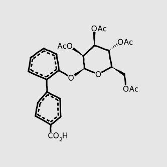 CC(=O)OC[C@H]1O[C@@H](Oc2ccccc2-c2ccc(C(=O)O)cc2)[C@@H](OC(C)=O)[C@@H](OC(C)=O)[C@@H]1OC(C)=O